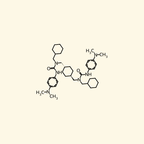 CN(C)c1ccc(NC(=O)N(CC2CCCCC2)C[C@H]2CC[C@H](CN(CC3CCCCC3)C(=O)Nc3ccc(N(C)C)cc3)CC2)cc1